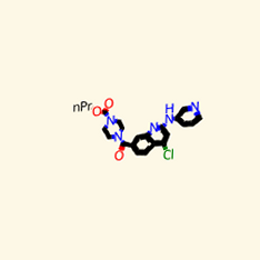 CCCOC(=O)N1CCN(C(=O)c2ccc3c(Cl)cc(Nc4cccnc4)nc3c2)CC1